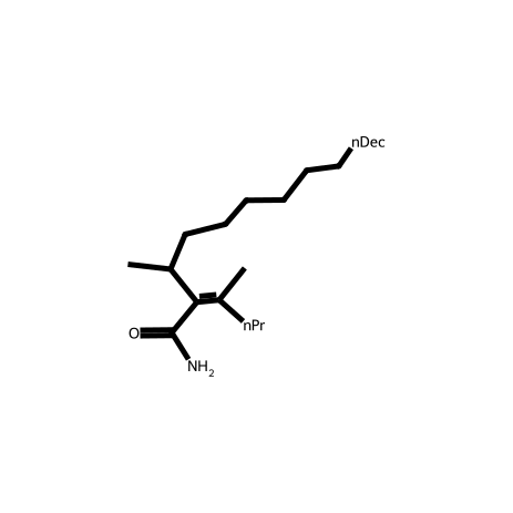 CCCCCCCCCCCCCCCCC(C)C(C(N)=O)=C(C)CCC